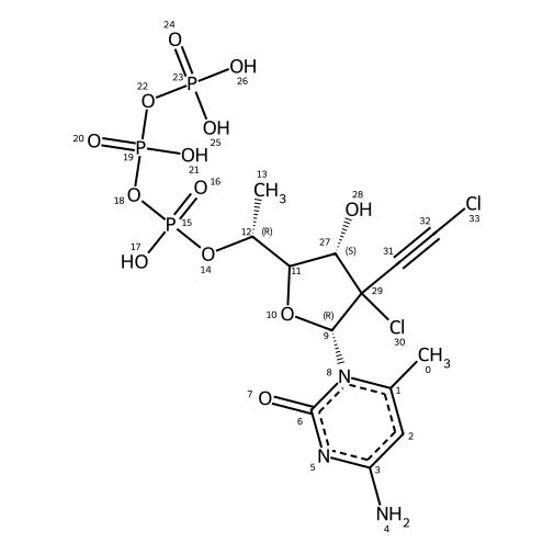 Cc1cc(N)nc(=O)n1[C@@H]1OC([C@@H](C)OP(=O)(O)OP(=O)(O)OP(=O)(O)O)[C@H](O)C1(Cl)C#CCl